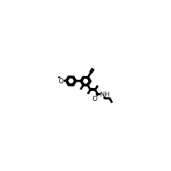 C#Cc1cc(/C(C)=C(\C)C(=O)NCCC)c(C)c(-c2ccc(OC)cc2)c1